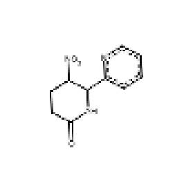 O=C1CCC([N+](=O)[O-])C(c2ccccn2)N1